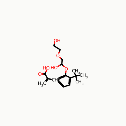 C=C(C)C(=O)O.CC(C)(C)c1ccccc1OC(O)COCCO